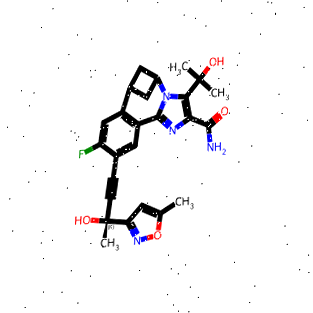 Cc1cc([C@](C)(O)C#Cc2cc3c(cc2F)C2CC(C2)n2c-3nc(C(N)=O)c2C(C)(C)O)no1